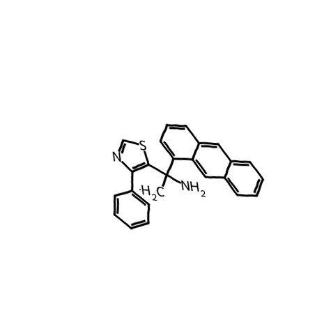 [CH2]C(N)(c1scnc1-c1ccccc1)c1cccc2cc3ccccc3cc12